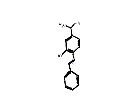 CC(C)c1ccc(/C=C/c2ccccc2)c(O)c1